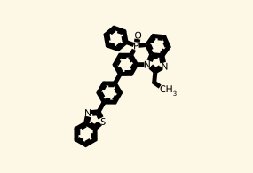 CCc1nc2cccc3c2n1-c1cc(-c2ccc(-c4nc5ccccc5s4)cc2)ccc1P3(=O)c1ccccc1